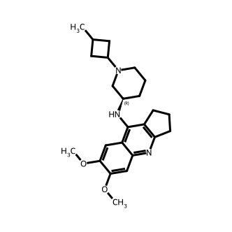 COc1cc2nc3c(c(N[C@@H]4CCCN(C5CC(C)C5)C4)c2cc1OC)CCC3